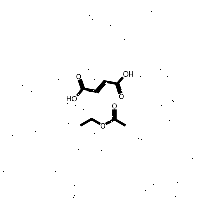 CCOC(C)=O.O=C(O)C=CC(=O)O